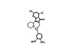 CSc1cc(C2CC2Cn2c(=O)c3c(Cl)cc(Cl)nc3n2C2CCCCO2)ccc1N